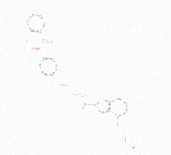 Nc1ccccc1NC(=O)c1ccc(OCCNC(=O)c2cc3c(COCC(F)(F)F)cccc3o2)cc1